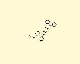 C[Si](C)(C)CCOCn1c(N2CCOCC2)c(-c2nnc(NC3N=C(c4ccccc4)c4ccccc4NC3=O)o2)ccc1=O